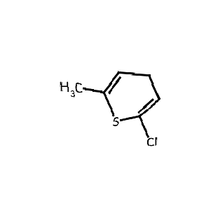 CC1=CCC=C(Cl)S1